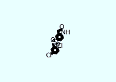 O=C1Cc2cc(S(=O)(=O)Cc3cc(Cl)ccc3Cl)ccc2N1